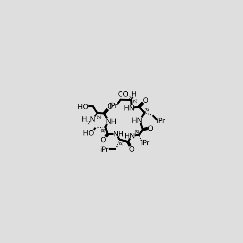 CC(C)C[C@H](NC(=O)[C@H](CC(C)C)NC(=O)[C@@H](NC(=O)[C@H](CC(C)C)NC(=O)[C@H](CO)NC(=O)[C@@H](N)CO)C(C)C)C(=O)O